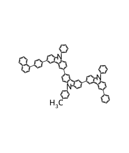 Cc1ccc(-n2c3ccc(-c4ccc5c(c4)c4cc(-c6ccccc6)ccc4n5-c4ccccc4)cc3c3cc(-c4ccc5c(c4)c4cc(-c6ccc(-c7cccc8ccccc78)cc6)ccc4n5-c4ccccc4)ccc32)cc1